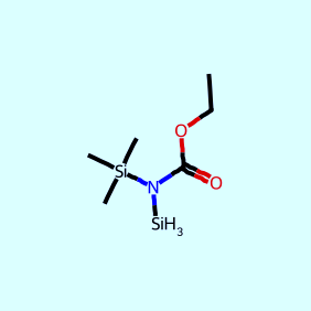 CCOC(=O)N([SiH3])[Si](C)(C)C